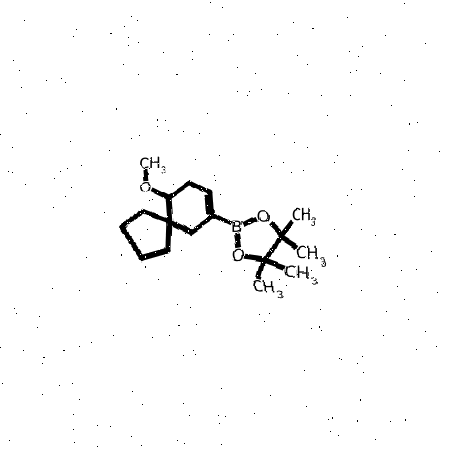 COC1CC=C(B2OC(C)(C)C(C)(C)O2)CC12CCCC2